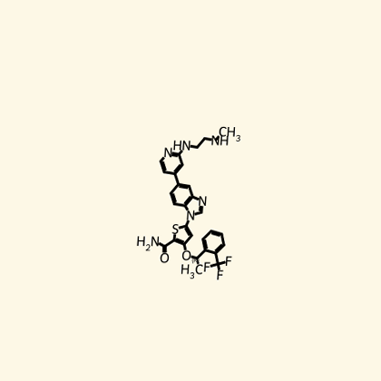 CNCCNc1cc(-c2ccc3c(c2)ncn3-c2cc(O[C@H](C)c3ccccc3C(F)(F)F)c(C(N)=O)s2)ccn1